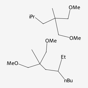 CCCCC(CC)CC(C)(COC)COC.COCC(C)(COC)CC(C)C